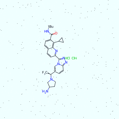 CC(C)(C)NC(=O)c1ccc2ccc(-c3nnc4ccc([C@@H](N5CCC(N)C5)C(F)(F)F)cn34)nc2c1C1CC1.Cl.Cl